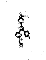 CC1(C(N)=O)COC(c2nc(-c3ccc(F)cc3)c(-c3ccnc(NCC(=O)O)n3)[nH]2)OC1